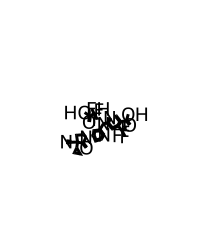 N#CC1(C2CC2)CCN(c2ccnc(Nc3cc(C(F)(F)F)c(C(=O)O)cn3)c2)C1=O.O=C(O)C(F)(F)F